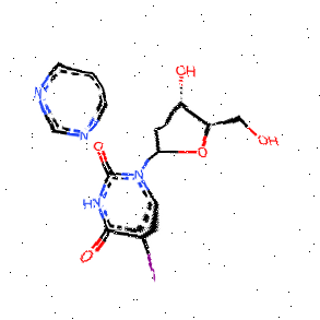 O=c1[nH]c(=O)n(C2C[C@H](O)[C@@H](CO)O2)cc1I.c1cncnc1